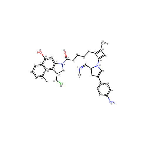 CC/N=C\[C@@H]1CC(c2ccc(N)cc2)=CN1C1=CC(OC)=C1CCCCC(=O)N1C[C@@H](CCl)c2c1cc(O)c1cccc(C)c21